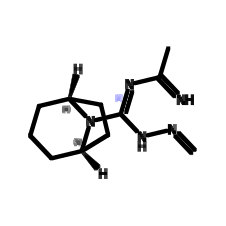 C=NN/C(=N\C(C)=N)N1[C@@H]2CCC[C@H]1CC2